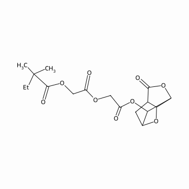 CCC(C)(C)C(=O)OCC(=O)OCC(=O)OC1C2CC3C(=O)OC1C3O2